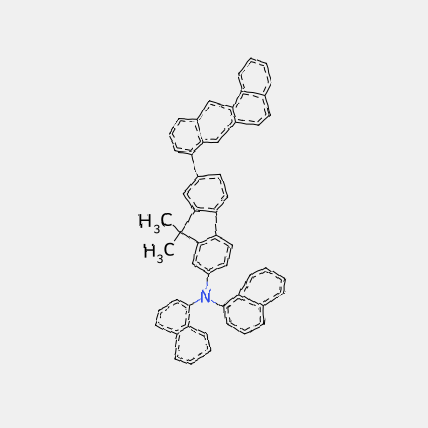 CC1(C)c2cc(-c3cccc4cc5c(ccc6ccccc65)cc34)ccc2-c2ccc(N(c3cccc4ccccc34)c3cccc4ccccc34)cc21